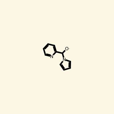 [O]C(c1ccccn1)n1cccc1